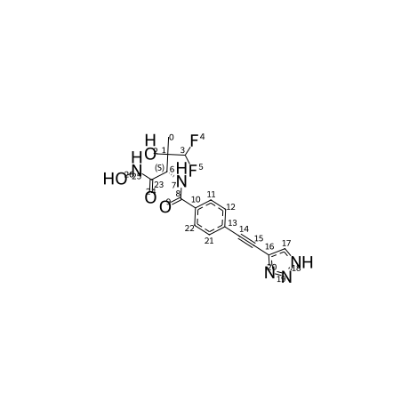 CC(O)(C(F)F)[C@H](NC(=O)c1ccc(C#Cc2c[nH]nn2)cc1)C(=O)NO